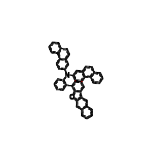 c1ccc(N(c2ccc3c(ccc4ccccc43)c2)c2ccc3c(ccc4ccccc43)c2)c(-c2cccc3c2oc2cc4ccccc4cc23)c1